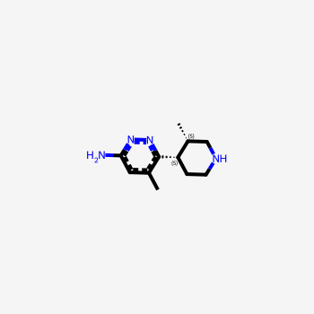 Cc1cc(N)nnc1[C@H]1CCNC[C@H]1C